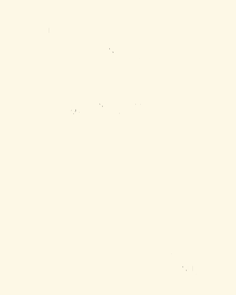 COc1ccc(F)cc1[C@H](c1cc2ccccc2[nH]1)N1Cc2ccc(-c3ccc(OC(N)=O)cc3)cc2C1=O